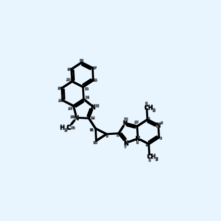 Cc1ncc(C)n2nc(C3CC3c3nc4c5ccccc5ccc4n3C)nc12